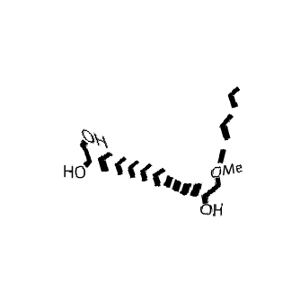 C=C.C=C.C=C.C=C.C=C.C=CC.C=CC.C=CC.C=CC.C=CC.C=CC.C=CC.COCCO.OCCO